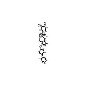 CCn1c(Oc2ccc(-c3ccccc3)cc2)nnc1[C@@H](C)NS(=O)(=O)c1ccc(Cl)c(Cl)c1